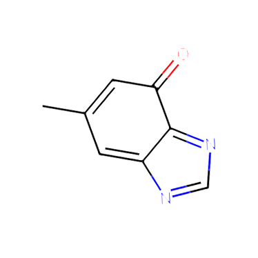 CC1=CC(=O)C2=NC=NC2=C1